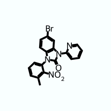 Cc1cccc(-n2c(=O)n(-c3ccccn3)c3cc(Br)ccc32)c1[N+](=O)[O-]